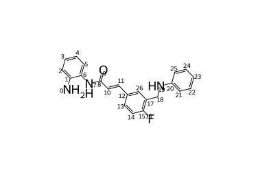 Nc1ccccc1NC(=O)/C=C/c1ccc(F)c(CNc2ccccc2)c1